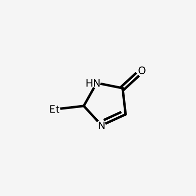 CCC1N=CC(=O)N1